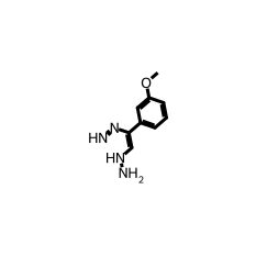 COc1cccc(/C(=C/NN)N=N)c1